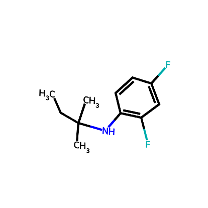 CCC(C)(C)Nc1ccc(F)cc1F